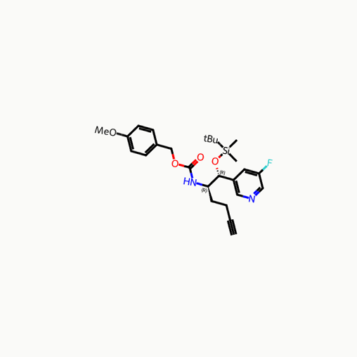 C#CCC[C@@H](NC(=O)OCc1ccc(OC)cc1)[C@H](O[Si](C)(C)C(C)(C)C)c1cncc(F)c1